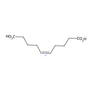 O=C(O)CCC/C=C\CCCC(=O)O